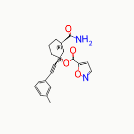 Cc1cccc(C#C[C@@]2(OC(=O)c3ccno3)CCC[C@@H](C(N)=O)C2)c1